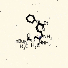 CCCCN(C)C(=O)OC/C(=C(/N)c1ccc(OC2CCCCC2)c(CC)n1)N(C)N